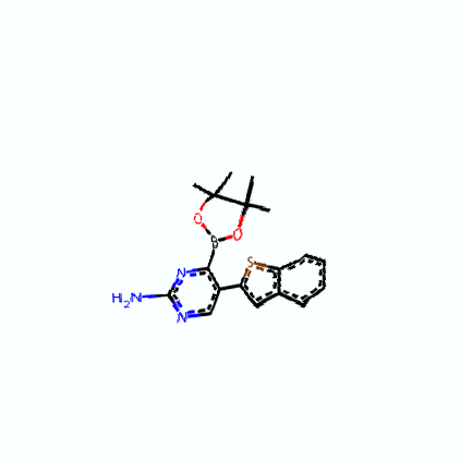 CC1(C)OB(c2nc(N)ncc2-c2cc3ccccc3s2)OC1(C)C